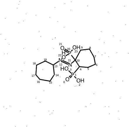 O=P(O)(O)C1CCCCCC1(N=NC1CCCCCC1)P(=O)(O)O